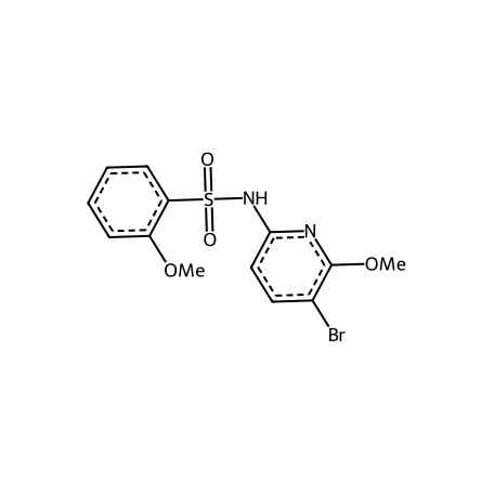 COc1ccccc1S(=O)(=O)Nc1ccc(Br)c(OC)n1